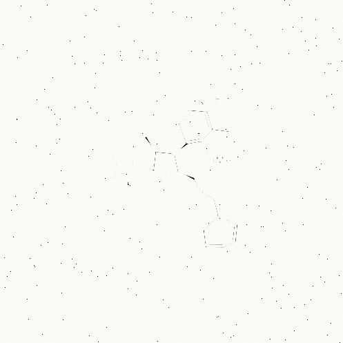 COc1c([C@H]2[C@@H](COCc3ccccc3)O[C@](O[Si](C)(C)C)(C(F)(F)F)[C@H]2C)ccc(F)c1F